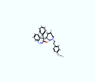 Cc1ccc(CCN2CCCC(C(C(N)=O)(c3ccccc3)c3ccccc3)C2)cc1